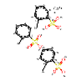 Cc1ccccc1S(=O)(=O)[O-].Cc1ccccc1S(=O)(=O)[O-].Cc1ccccc1S(=O)(=O)[O-].[Ga+3]